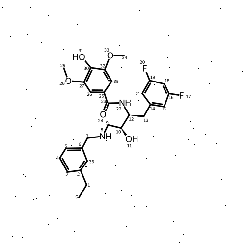 CCc1cccc(CNC[C@H](O)[C@H](Cc2cc(F)cc(F)c2)NC(=O)c2cc(OC)c(O)c(OC)c2)c1